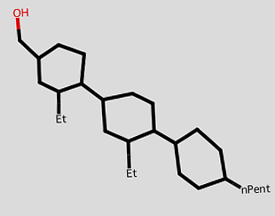 CCCCCC1CCC(C2CCC(C3CCC(CO)CC3CC)CC2CC)CC1